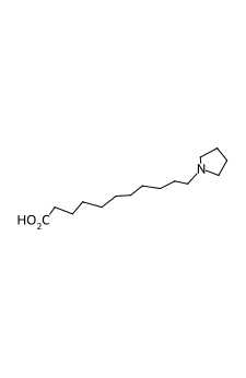 O=C(O)CCCCCCCCCCN1CCCC1